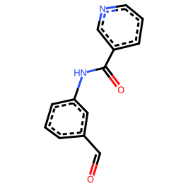 O=Cc1cccc(NC(=O)c2cccnc2)c1